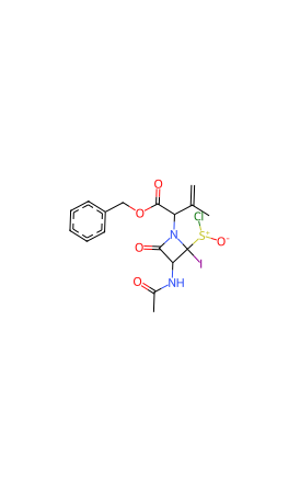 C=C(C)C(C(=O)OCc1ccccc1)N1C(=O)C(NC(C)=O)C1(I)[S+]([O-])Cl